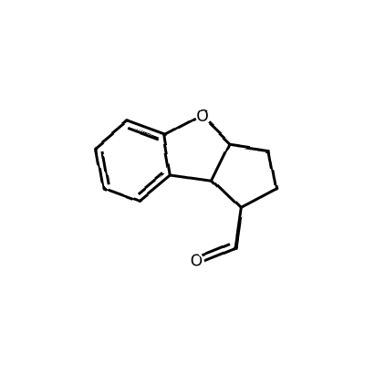 O=CC1CCC2Oc3ccccc3C12